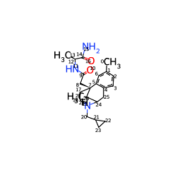 Cc1ccc2c(c1)[C@@]1(CC(=O)N[C@@H](C)C(N)=O)CCN(CC3CC3)C(C2)[C@@H]1C